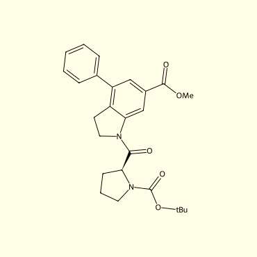 COC(=O)c1cc(-c2ccccc2)c2c(c1)N(C(=O)[C@@H]1CCCN1C(=O)OC(C)(C)C)CC2